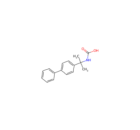 CC(C)(NC(=O)O)c1ccc(-c2ccccc2)cc1